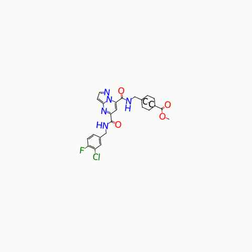 COC(=O)C12CCC(CNC(=O)c3cc(C(=O)NCc4ccc(F)c(Cl)c4)nc4ccnn34)(CC1)CC2